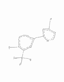 Fc1ccnc(-c2ccc(F)c(C(F)(F)F)c2)c1